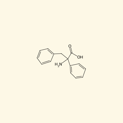 NC(Cc1ccccc1)(C(=O)O)c1ccccc1